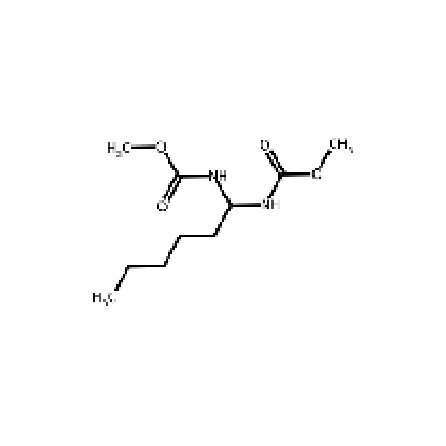 CCCCCC(NC(=O)OC)NC(=O)OC